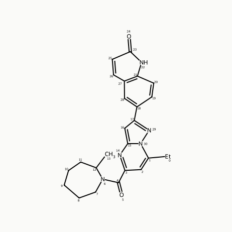 CCc1cc(C(=O)N2CCCCCC2C)nc2cc(-c3ccc4[nH]c(=O)ccc4c3)nn12